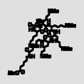 CNCCCCC(NC(=O)OC(C)(C)C)C(=O)NC(CCCCNC)C(=O)NC(CCCCNC)C(=O)NC(CCCCNC)C(=O)NC(CCCCNC)C(=O)NCCCCCC(=O)NCCCCCC(=O)OC